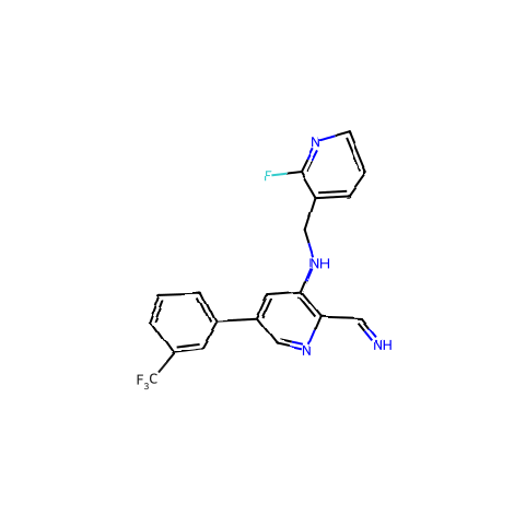 N=Cc1ncc(-c2cccc(C(F)(F)F)c2)cc1NCc1cccnc1F